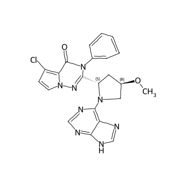 CO[C@@H]1C[C@@H](c2nn3ccc(Cl)c3c(=O)n2-c2ccccc2)N(c2ncnc3[nH]cnc23)C1